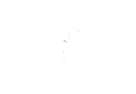 COCCOC(=O)CCO